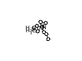 C[Si]1(C)c2ccccc2-c2c(-c3nc(-c4ccc5cc(-c6ccccc6)ccc5c4)nc(-c4ccccc4-c4ccccc4)n3)cccc21